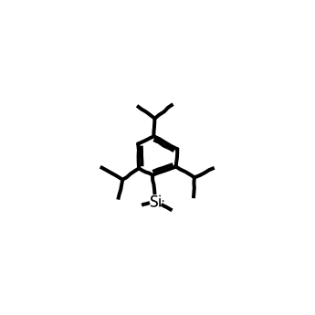 CC(C)c1cc(C(C)C)c([Si](C)C)c(C(C)C)c1